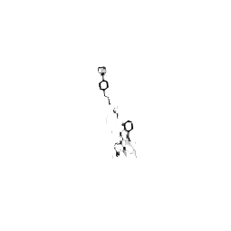 O=C1CCC(N2C(=O)c3cccc(NCCOCCCc4ccc(C5OCCO5)cc4F)c3C2=O)C(=O)N1